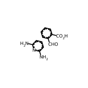 Nc1cccc(N)n1.O=Cc1ccccc1C(=O)O